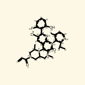 C=CC(=O)N1CC(C)N2c3c(c(=O)n(-c4c(C)ccnc4C(C)C)c4nc(-c5c(O)cccc5F)c(Cl)cc34)N(C)CC2C1